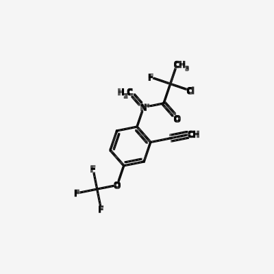 C#Cc1cc(OC(F)(F)F)ccc1[N+](=C)C(=O)C(C)(F)Cl